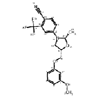 COc1cccc(OC[C@@H]2CN(c3ccc(C#N)c(C(F)(F)F)c3)[C@@H](C)O2)c1